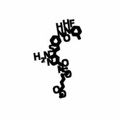 COC(=O)CCCCS(C)(=O)=NC(=O)c1cnc(N)c(-c2cc3cc(NC(=O)Nc4cc(C)ccc4F)ccc3s2)c1